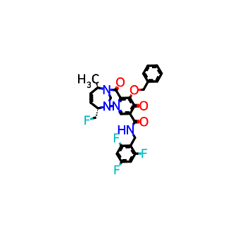 C[C@H]1C=C[C@@H](CF)N2CN1C(=O)c1c(OCc3ccccc3)c(=O)c(C(=O)NCc3c(F)cc(F)cc3F)cn12